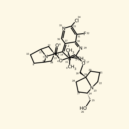 CC(C)(C)OC(=O)N1C2CCC1CN(c1nc(OC[C@@]34CCCN3[C@H](CO)CC4)nc3c(F)c(Cl)ncc13)C2